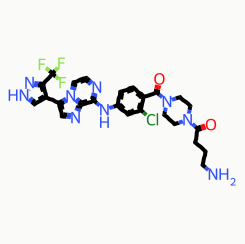 NCCCC(=O)N1CCN(C(=O)c2ccc(Nc3nccn4c(-c5c[nH]nc5C(F)(F)F)cnc34)cc2Cl)CC1